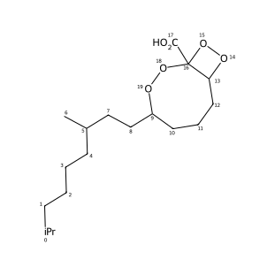 CC(C)CCCCC(C)CCC1CCCC2OOC2(C(=O)O)OO1